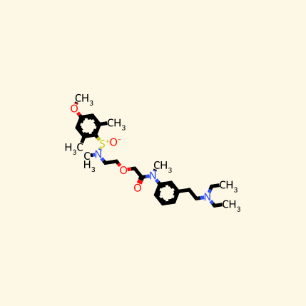 CCN(CC)CCc1cccc(N(C)C(=O)COCCN(C)[S+]([O-])c2c(C)cc(OC)cc2C)c1